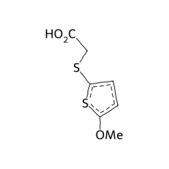 COc1ccc(SCC(=O)O)s1